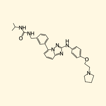 CC(C)NC(=O)NCc1cccc(-c2cccc3nc(Nc4ccc(OCCN5CCCC5)cc4)nn23)c1